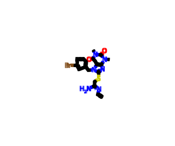 C=C/N=C(\N)CSc1nc2c(c(=O)n(C)c(=O)n2C)n1Cc1cccc(Br)c1